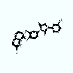 Cc1cc(N2C(=O)CN(c3cncc(C(F)(F)F)c3)C2=O)ccc1Oc1ccnc2ncc(=O)[nH]c12